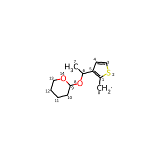 [CH2]c1sccc1C(C)OC1CCCCO1